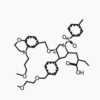 CCC(CC1CC(c2ccc(COCCOC)cc2)[C@@H](OCc2ccc3c(c2)N(CCCOC)CCO3)CN1S(=O)(=O)c1ccc(C)cc1)C(=O)O